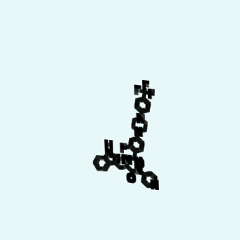 O=C(N[C@H](Cc1c[nH]c2ccccc12)C(=O)Nc1ccncc1)c1ccc(N2CCN(c3ccc(C(F)(F)F)cc3)CC2)cc1F